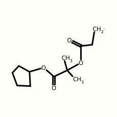 [CH2]CC(=O)OC(C)(C)C(=O)OC1CCCC1